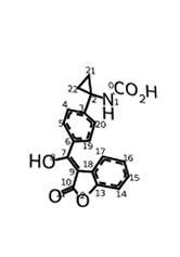 O=C(O)NC1(c2ccc(/C(O)=C3/C(=O)Oc4ccccc43)cc2)CC1